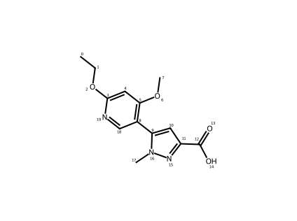 CCOc1cc(OC)c(-c2cc(C(=O)O)nn2C)cn1